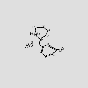 O[C@@H](c1cccc(Br)c1)[C@@H]1CCCCN1